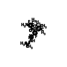 Cc1c(F)c(N)cc(C(=O)Nc2cc(-n3cc(NCCN(C)C)nn3)c(F)cc2N2C[C@@H](C)N(C)[C@@H](C)C2)c1Cl